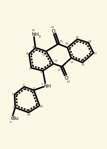 CC(C)(C)c1ccc(Nc2ccc(N)c3c2C(=O)c2ccccc2C3=O)cc1